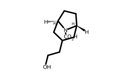 O=C(O)N1[C@@H]2CC[C@@H]1CC(CCO)C2